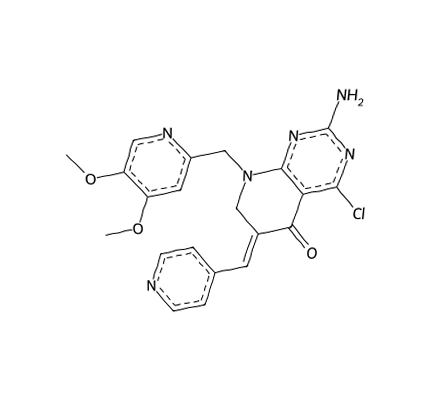 COc1cnc(CN2C/C(=C\c3ccncc3)C(=O)c3c(Cl)nc(N)nc32)cc1OC